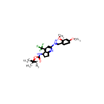 COc1ccc(CNc2cc(C(F)(F)F)c3c(n2)CCC3NC(=O)OC(C)(C)C)c(OC)c1